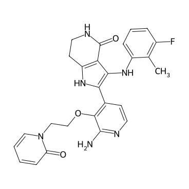 Cc1c(F)cccc1Nc1c(-c2ccnc(N)c2OCCn2ccccc2=O)[nH]c2c1C(=O)NCC2